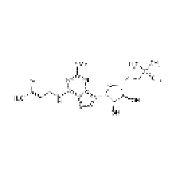 C=P(C)(C)CC[C@H]1O[C@@H](n2cnc3c(NC/C=C(/C)CC)nc(SC)nc32)[C@H](O)[C@@H]1O